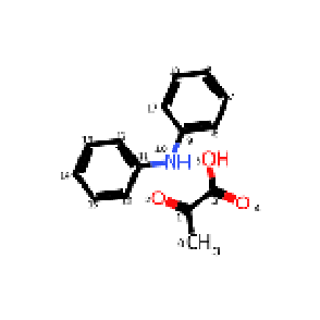 CC(=O)C(=O)O.c1ccc(Nc2ccccc2)cc1